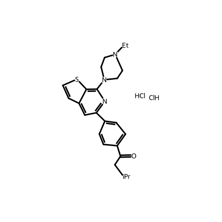 CCN1CCN(c2nc(-c3ccc(C(=O)CC(C)C)cc3)cc3ccsc23)CC1.Cl.Cl